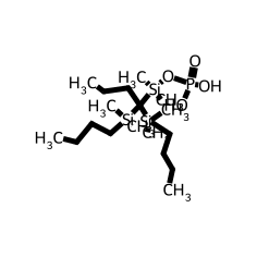 CCCC[Si](C)(C)C(CCC)([Si](C)(C)CCCC)[Si](C)(C)OP(=O)(O)O